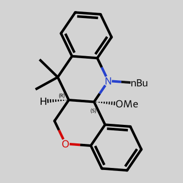 CCCCN1c2ccccc2C(C)(C)[C@@H]2COc3ccccc3[C@@]21OC